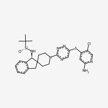 CC(C)(C)[S@@+]([O-])N[C@@H]1c2ccccc2CC12CCN(c1ncc(Sc3cc(N)ncc3Cl)nn1)CC2